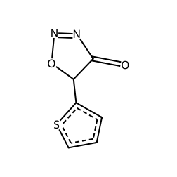 O=C1N=NOC1c1cccs1